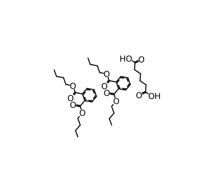 CCCCOC(=O)c1ccccc1C(=O)OCCCC.CCCCOC(=O)c1ccccc1C(=O)OCCCC.O=C(O)CCCCC(=O)O